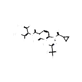 C=C/N=C(\C=C/C(C)C(=O)N/C(C(=C)F)=C(/C)F)N(/N=C(\C)C(F)(F)F)C(=C)C1CC1